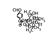 CCOC(C)O[C@@H]1[C@H]2OC(C)(C)O[C@H]2[C@@H](OP(=O)(OC)Oc2ccc(C=O)cc2)C[C@H]1OC(C)(C)O